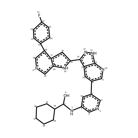 OC(Nc1cncc(-c2cnc3[nH]nc(-c4cc5c(-c6ccc(F)cc6)cncc5[nH]4)c3c2)c1)C1CCCCC1